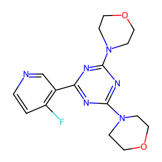 Fc1ccncc1-c1nc(N2CCOCC2)nc(N2CCOCC2)n1